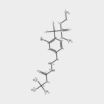 CCOP(=O)(OC)C(F)(F)c1ccc(CNNC(=O)OC(C)(C)C)cc1Br